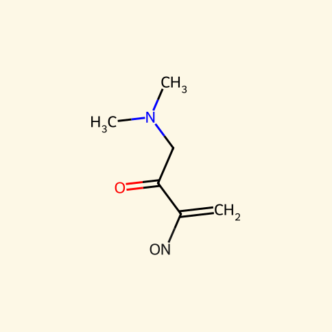 C=C(N=O)C(=O)CN(C)C